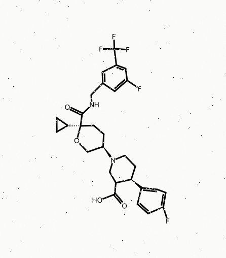 O=C(O)C1CN([C@@H]2CC[C@@](C(=O)NCc3cc(F)cc(C(F)(F)F)c3)(C3CC3)OC2)CC[C@H]1c1ccc(F)cc1